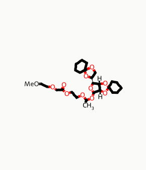 COCCOCC(=O)OCCOC(C)OC1O[C@H](C2COC3(CCCCC3)O2)[C@@H]2OC3(CCCCC3)O[C@H]12